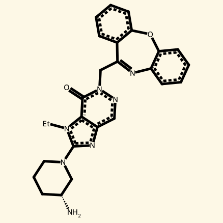 CCn1c(N2CCC[C@@H](N)C2)nc2cnn(CC3=Nc4ccccc4Oc4ccccc43)c(=O)c21